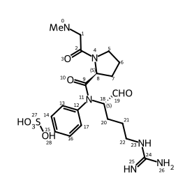 CNCC(=O)N1CCC[C@H]1C(=O)N(c1ccccc1)[C@H](C=O)CCCNC(=N)N.O=S(=O)(O)O